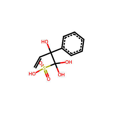 C=CC(O)(c1ccccc1)C(O)(O)S(=O)(=O)O